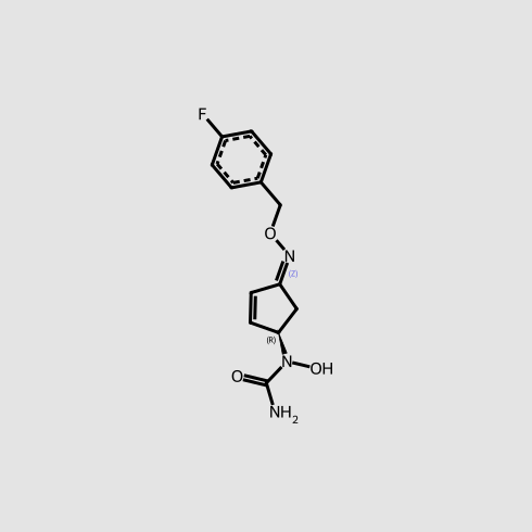 NC(=O)N(O)[C@H]1C=C/C(=N\OCc2ccc(F)cc2)C1